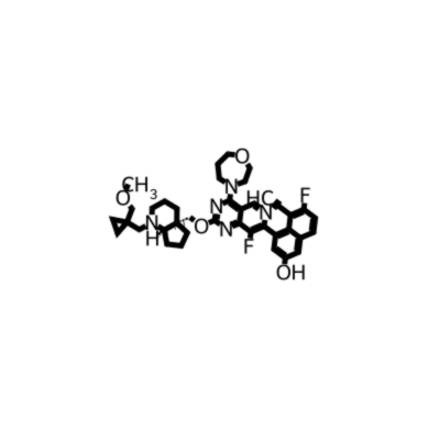 C#Cc1c(F)ccc2cc(O)cc(-c3ncc4c(N5CCCOCC5)nc(OC[C@]56CCC[C@H]5N(CC5(COC)CC5)CCC6)nc4c3F)c12